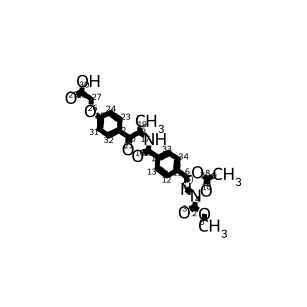 COC(=O)N=N[C@@H](OC(C)=O)c1ccc(C(=O)NC(C)C(=O)c2ccc(OCC(=O)O)cc2)cc1